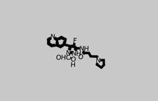 O=C(CCCN1CCCC1)Nc1[nH]nc(-c2ccc3ncccc3c2)c1F.O=CO